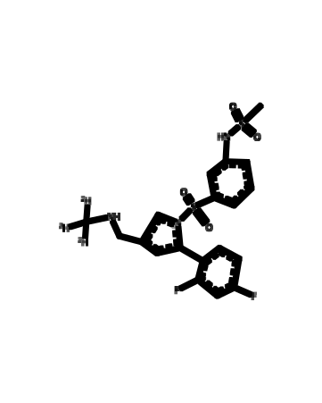 [2H]C([2H])([2H])NCc1cc(-c2ccc(F)cc2F)n(S(=O)(=O)c2cccc(NS(C)(=O)=O)c2)c1